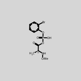 CON[C@@H](C)C(=O)OP(=O)(O)Oc1ccccc1Br